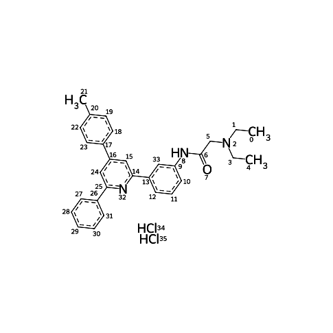 CCN(CC)CC(=O)Nc1cccc(-c2cc(-c3ccc(C)cc3)cc(-c3ccccc3)n2)c1.Cl.Cl